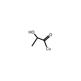 CC(O)[C](=O)[Cu]